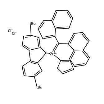 CC(C)(C)c1ccc2c(c1)[CH]([Zr+2]([C]1=CC=CC1)=[C](c1cccc3ccccc13)c1cccc3ccccc13)c1cc(C(C)(C)C)ccc1-2.[Cl-].[Cl-]